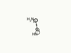 Nc1cccc(C#Cc2cc3n(c2)CCCNC3)n1